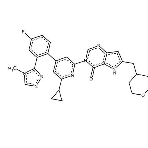 Cn1cnnc1-c1cc(F)ccc1-c1cc(C2CC2)nc(-n2cnc3cc(CC4CCOCC4)[nH]c3c2=O)c1